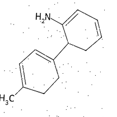 CC1=CC=C(C2CC=CC=C2N)CC1